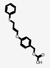 O=C(O)OCc1ccc(OC=CCSc2ccccc2)cc1